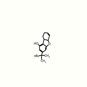 CCCCC(C)(C)c1cc(O)c2c(c1)OC1C=CCCC21